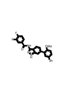 COc1ccc(C(C)C)cc1-c1ccc2c(NC(=O)c3ccc(F)c(F)c3)n[nH]c2c1